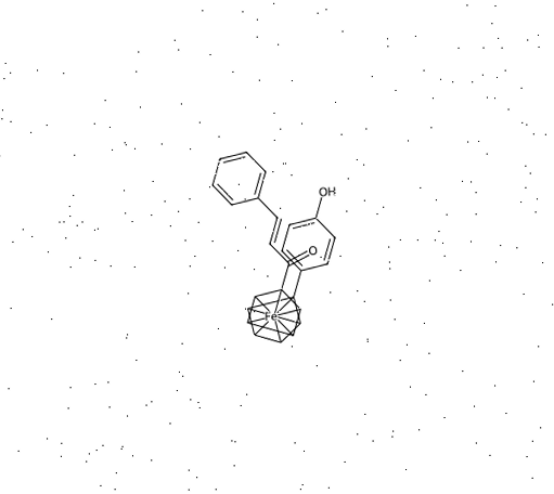 O=C(C=Cc1ccccc1)[C]12[CH]3[CH]4[CH]5[CH]1[Fe]45321678[CH]2[CH]1[CH]6[C]7(c1ccc(O)cc1)[CH]28